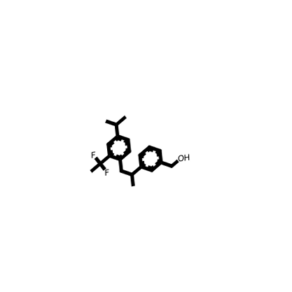 CC(C)c1ccc(CC(C)c2cccc(CO)c2)c(C(C)(F)F)c1